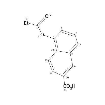 CCC(=O)Oc1cccc2cc(C(=O)O)ccc12